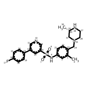 Cc1cc(NS(=O)(=O)c2cncc(-c3ccc(F)cc3)c2)ccc1CN1CCN[C@@H](C)C1